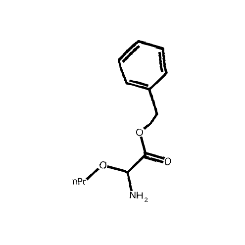 CCCOC(N)C(=O)OCc1ccccc1